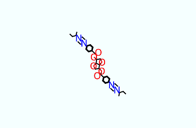 CCC(C)N1CCN(c2ccc(C(=O)OC3COC4C(OC(=O)c5ccc(N6CCN(C(C)CC)CC6)cc5)COC34)cc2)CC1